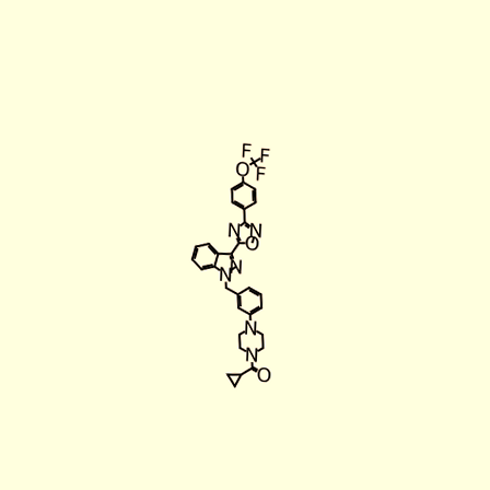 O=C(C1CC1)N1CCN(c2cccc(Cn3nc(-c4nc(-c5ccc(OC(F)(F)F)cc5)no4)c4ccccc43)c2)CC1